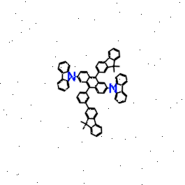 CC1(C)c2ccccc2-c2ccc(-c3cccc(-c4c5ccc(-n6c7ccccc7c7ccccc76)cc5c(-c5ccc6c(c5)C(C)(C)c5ccccc5-6)c5ccc(-n6c7ccccc7c7ccccc76)cc45)c3)cc21